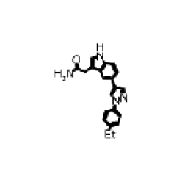 CCc1ccc(-n2cc(-c3ccc4[nH]cc(CC(N)=O)c4c3)cn2)cc1